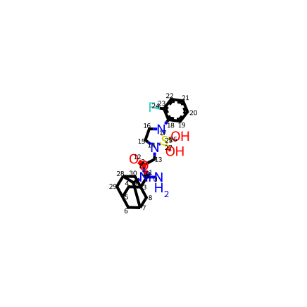 NC(=O)C12CC3CC(C1)C(NC(=O)CN1CCN(c4ccccc4F)S1(O)O)C(C3)C2